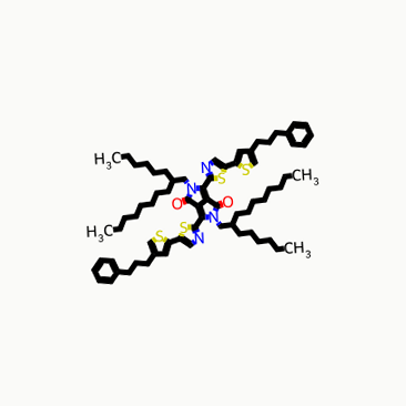 CCCCCCCCC(CCCCCC)CN1C(=O)C2=C(c3ncc(-c4cc(CCCc5ccccc5)cs4)s3)N(CC(CCCCCC)CCCCCCCC)C(=O)C2=C1c1ncc(-c2cc(CCCc3ccccc3)cs2)s1